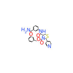 NC(=O)c1cccc(NC(=O)C2CSC(c3ccncc3)N2C(=O)OCc2ccccc2)c1